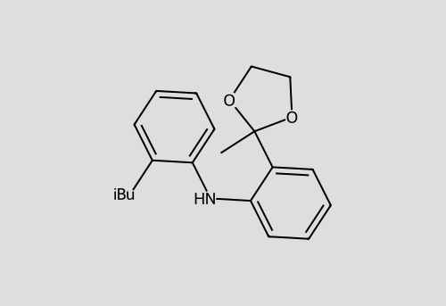 CCC(C)c1ccccc1Nc1ccccc1C1(C)OCCO1